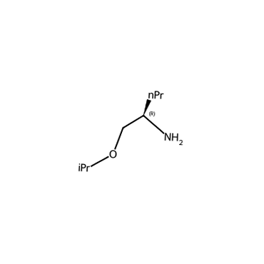 CCC[C@@H](N)COC(C)C